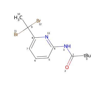 CC(C)(C)C(=O)Nc1cccc(C(C)(Br)Br)n1